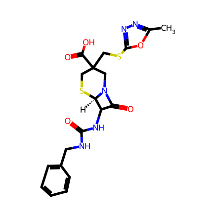 Cc1nnc(SCC2(C(=O)O)CS[C@@H]3C(NC(=O)NCc4ccccc4)C(=O)N3C2)o1